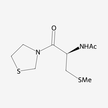 CSC[C@H](NC(C)=O)C(=O)N1CCSC1